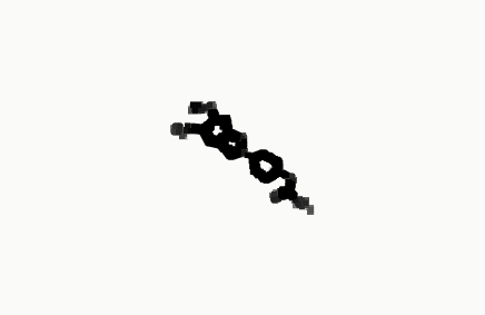 COc1cc2nn([C@H]3CC[C@H](OC(N)=O)CC3)cc2cc1[N+](=O)[O-]